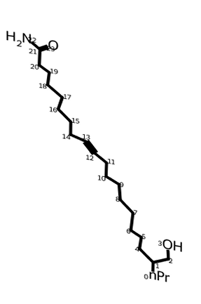 CCCC(CO)CCCCCCCCC#CCCCCCCCC(N)=O